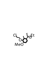 CCOC(=S)c1ccc(OC)c(OCCCl)c1C